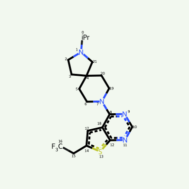 CC(C)N1CCC2(CCN(c3ncnc4sc(CC(F)(F)F)cc34)CC2)C1